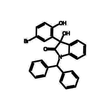 O=C1N(C(c2ccccc2)c2ccccc2)c2ccccc2C1(O)c1cc(Br)ccc1O